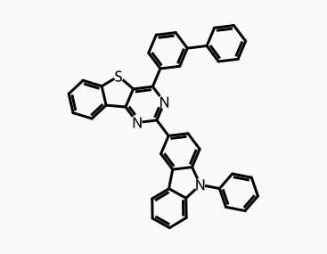 c1ccc(-c2cccc(-c3nc(-c4ccc5c(c4)c4ccccc4n5-c4ccccc4)nc4c3sc3ccccc34)c2)cc1